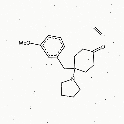 C=C.COc1cccc(CC2(N3CCCC3)CCC(=O)CC2)c1